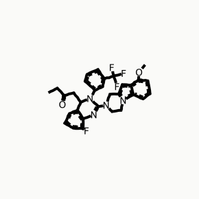 CCC(=O)CC1c2cccc(F)c2N=C(N2CCn3c(cc4c(OC)cccc43)C2)N1c1cccc(C(F)(F)F)c1